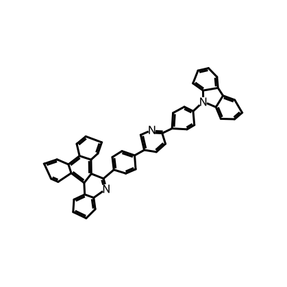 c1ccc2c(c1)nc(-c1ccc(-c3ccc(-c4ccc(-n5c6ccccc6c6ccccc65)cc4)nc3)cc1)c1c3ccccc3c3ccccc3c21